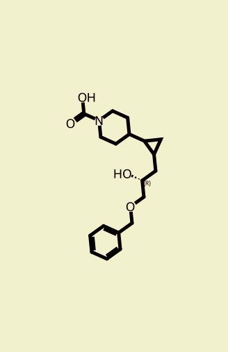 O=C(O)N1CCC(C2CC2C[C@@H](O)COCc2ccccc2)CC1